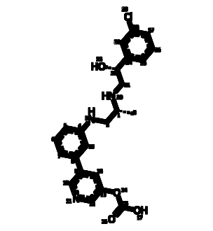 C[C@H](CNc1cccc(-c2cncc(OC(=O)O)c2)c1)NC[C@H](O)c1cccc(Cl)c1